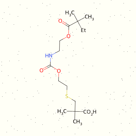 CCC(C)(C)C(=O)OCCNC(=O)OCCSCC(C)(C)C(=O)O